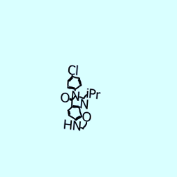 CC(C)c1nc2c3c(ccc2c(=O)n1-c1ccc(Cl)cc1)NCCO3